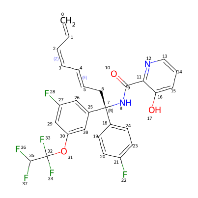 C=C/C=C\C=C\C[C@@](NC(=O)c1ncccc1O)(c1ccc(F)cc1)c1cc(F)cc(OC(F)(F)C(F)F)c1